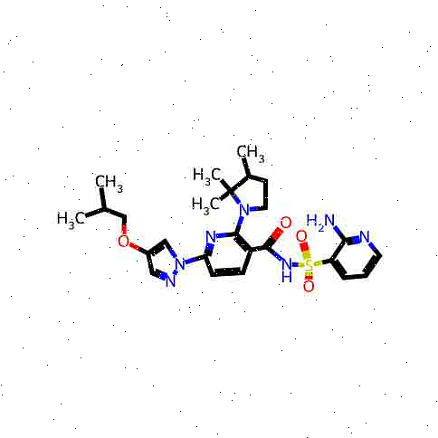 CC(C)COc1cnn(-c2ccc(C(=O)NS(=O)(=O)c3cccnc3N)c(N3CCC(C)C3(C)C)n2)c1